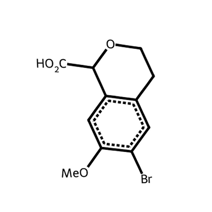 COc1cc2c(cc1Br)CCOC2C(=O)O